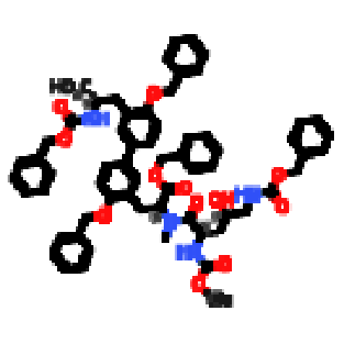 CN(C(=O)[C@H](C[C@@H](O)CNC(=O)OCc1ccccc1)NC(=O)OC(C)(C)C)[C@@H](Cc1cc(-c2ccc(OCc3ccccc3)c(C[C@H](NC(=O)OCc3ccccc3)C(=O)O)c2)ccc1OCc1ccccc1)C(=O)OCc1ccccc1